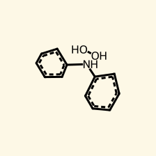 OO.c1ccc(Nc2ccccc2)cc1